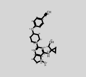 C#Cc1ccc(OC2CCN(c3nc4c(c(NC5(CO)CC5)n3)[S+]([O-])CC4)CC2)cc1